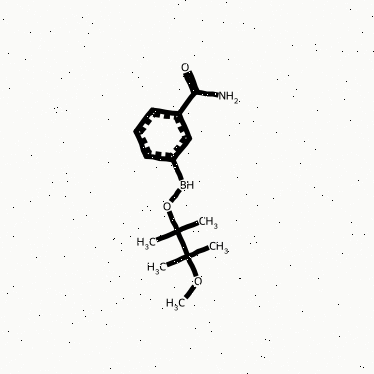 COC(C)(C)C(C)(C)OBc1cccc(C(N)=O)c1